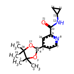 CC1(C)OB(c2ccnc(C(=O)NC3CC3)c2)OC1(C)C